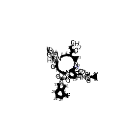 C=CC(=O)C1CCN[C@@H](NC(=O)OC(C)(C)C)C(=O)CC[C@@H](OC(=O)N2Cc3cccc(F)c3C2)N2C(=O)C[C@H](C(=O)NS(=O)(=O)C3CC3)[C@H]2/C=N\C2=C1C2